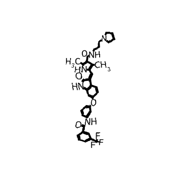 Cc1[nH]c(C=C2C(=O)Nc3cc(Oc4cccc(NC(=O)c5cccc(C(F)(F)F)c5)c4)ccc32)c(C)c1C(=O)NCCCN1CCCC1